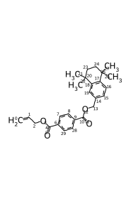 C=CCOC(=O)c1ccc(C(=O)OCc2ccc3c(c2)C(C)(C)CCC3(C)C)cc1